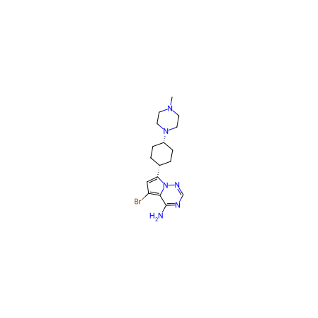 CN1CCN([C@H]2CC[C@@H](c3cc(Br)c4c(N)ncnn43)CC2)CC1